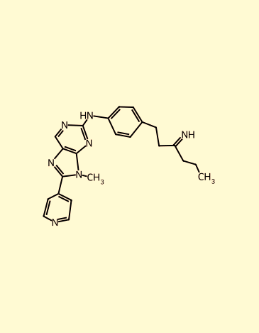 CCCC(=N)CCc1ccc(Nc2ncc3nc(-c4ccncc4)n(C)c3n2)cc1